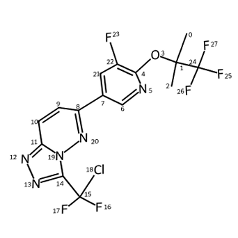 CC(C)(Oc1ncc(-c2ccc3nnc(C(F)(F)Cl)n3n2)cc1F)C(F)(F)F